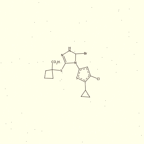 O=C(O)C1(SC2=NNC(Br)N2c2cc(Cl)c(C3CC3)s2)CCC1